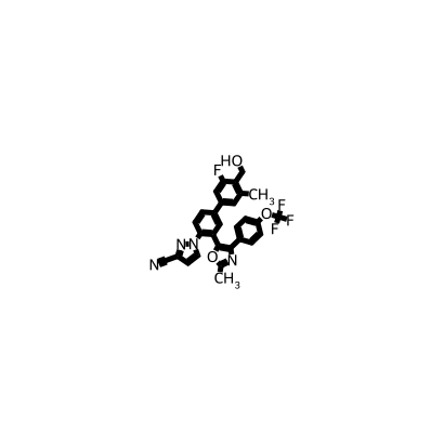 Cc1nc(-c2ccc(OC(F)(F)F)cc2)c(-c2cc(-c3cc(C)c(CO)c(F)c3)ccc2-n2ccc(C#N)n2)o1